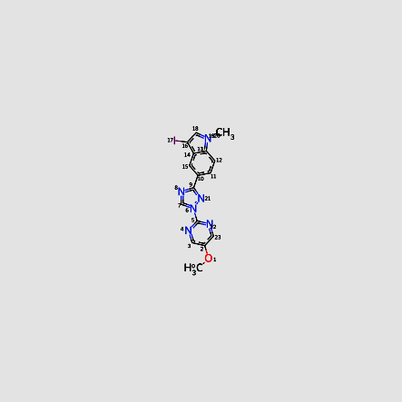 COc1cnc(-n2cnc(-c3ccc4c(c3)c(I)cn4C)n2)nc1